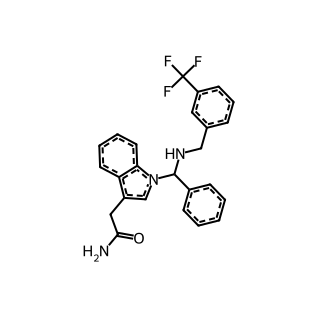 NC(=O)Cc1cn(C(NCc2cccc(C(F)(F)F)c2)c2ccccc2)c2ccccc12